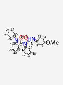 COc1ccc(NCC(=O)N(c2cccc(C)c2)C2C(=O)N(C3CCCCC3)c3ccccc32)cc1